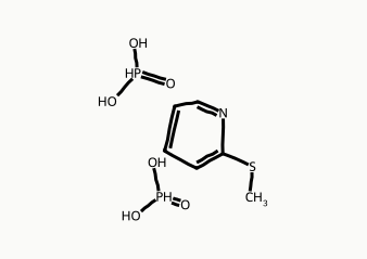 CSc1ccccn1.O=[PH](O)O.O=[PH](O)O